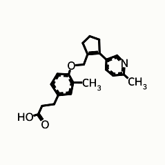 Cc1ccc(C2=C(COc3ccc(CCC(=O)O)cc3C)CCC2)cn1